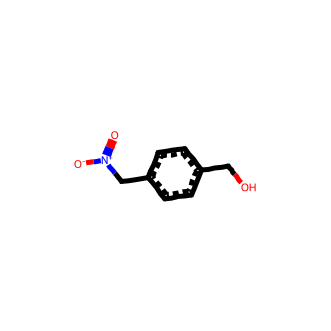 O=[N+]([O-])Cc1ccc(CO)cc1